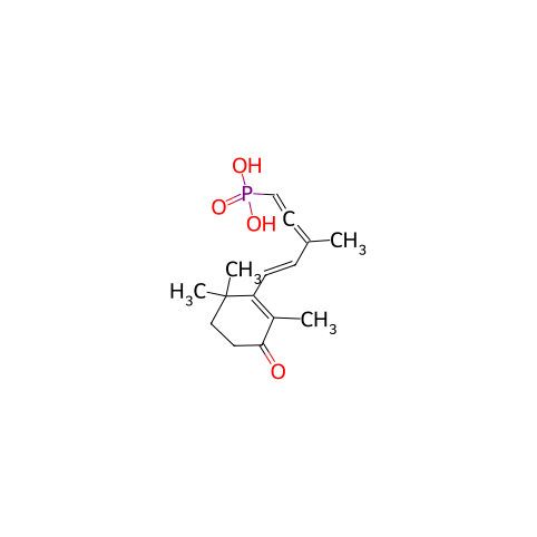 CC(=C=CP(=O)(O)O)/C=C/C1=C(C)C(=O)CCC1(C)C